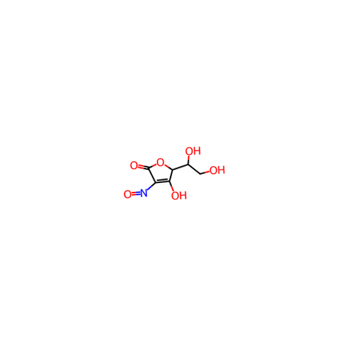 O=NC1=C(O)C(C(O)CO)OC1=O